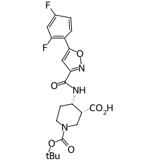 CC(C)(C)OC(=O)N1CC[C@H](NC(=O)c2cc(-c3ccc(F)cc3F)on2)[C@H](C(=O)O)C1